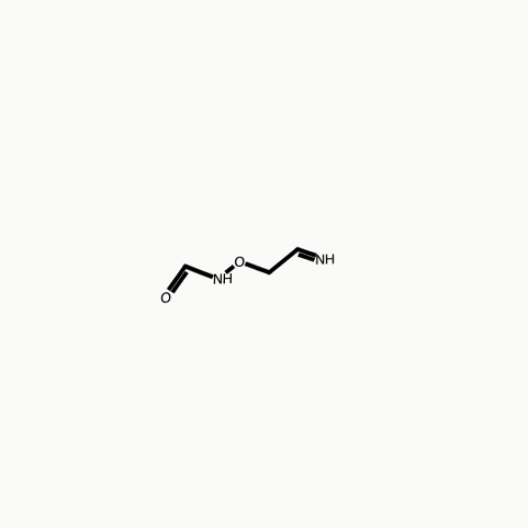 N=CCONC=O